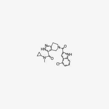 CN(C(=O)c1[nH]nc2c1CN(C(=O)c1cc3c(Cl)cccc3[nH]1)CC2)C1CC1